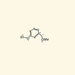 CCOc1cccc(COC)c1